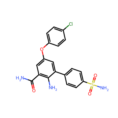 NC(=O)c1cc(Oc2ccc(Cl)cc2)cc(-c2ccc(S(N)(=O)=O)cc2)c1N